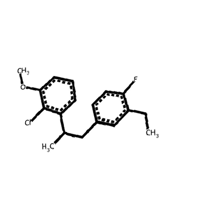 CCc1cc(CC(C)c2cccc(OC)c2Cl)ccc1F